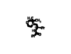 CC(C)C(=O)N[C@@H](CN1CCOCC1(C)C)C(C)C